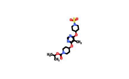 Cc1c(OC2CCN(C(=O)OC(C)C)CC2)ncnc1OC1CCN([SH](=O)=O)CC1